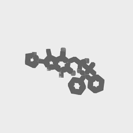 Cc1c(-n2cccn2)sc2[nH]c(=O)n(CC(=O)O[Si](c3ccccc3)(c3ccccc3)C(C)(C)C)c(=O)c12